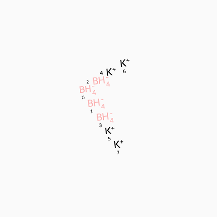 [BH4-].[BH4-].[BH4-].[BH4-].[K+].[K+].[K+].[K+]